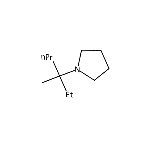 CCCC(C)(CC)N1CCCC1